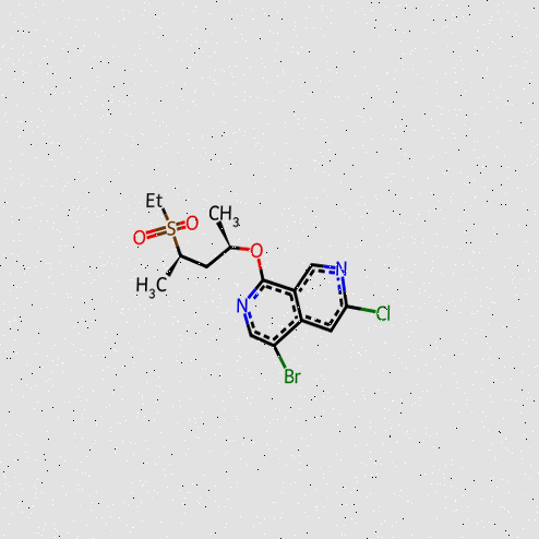 CCS(=O)(=O)[C@H](C)C[C@@H](C)Oc1ncc(Br)c2cc(Cl)ncc12